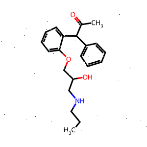 CCCNCC(O)COc1ccccc1C(C(C)=O)c1ccccc1